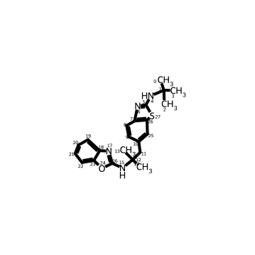 CC(C)(C)Nc1nc2ccc(CC(C)(C)Nc3nc4ccccc4o3)cc2s1